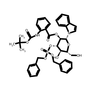 CC(C)(C)OC(=O)Nc1ccccc1C(=O)O[C@@H]1[C@@H](OP(=O)(OCc2ccccc2)OCc2ccccc2)[C@H](O)[C@@H](CO)O[C@H]1n1ccc2ccccc21